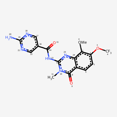 COc1c(OC(F)(F)F)ccc2c(=O)n(C)c(NC(=O)c3cnc(N)nc3)nc12